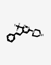 FC(F)(F)c1nnc(N2CCNCC2)cc1C=Cc1ccccc1